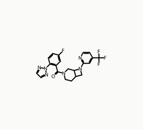 O=C(c1cc(F)ccc1-n1nccn1)N1CCC2CN(c3cc(C(F)(F)F)ccn3)C2C1